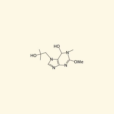 COC1=Nc2ncn(CC(C)(C)O)c2C(O)N1C